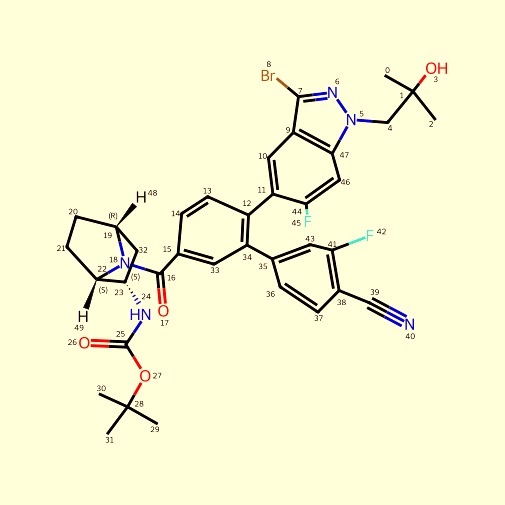 CC(C)(O)Cn1nc(Br)c2cc(-c3ccc(C(=O)N4[C@@H]5CC[C@H]4[C@@H](NC(=O)OC(C)(C)C)C5)cc3-c3ccc(C#N)c(F)c3)c(F)cc21